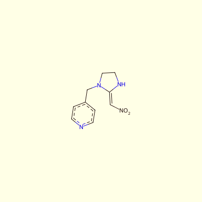 O=[N+]([O-])C=C1NCCN1Cc1ccncc1